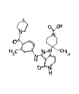 CCC1(n2nc(Nc3ccc(C(=O)N4CCSCC4)c(C)c3)c3c(=O)[nH]ccc32)CCN(C(=O)O)CC1